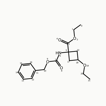 CCOC(=O)C1(NC(=O)OCc2ccccc2)CC(OCC)C1